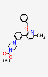 Cc1ccc(-c2cccc(N3CCN(C(=O)OC(C)(C)C)CC3)c2)c(OCc2ccccc2)n1